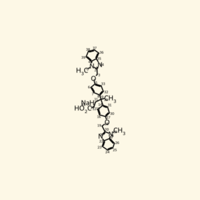 Cn1c(COc2ccc(C(C)(CCC(=O)O)c3ccc(OCc4nc5ccccc5n4C)cc3)cc2)nc2ccccc21.[NaH]